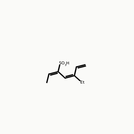 C=C/C(=C\C(=C/C)S(=O)(=O)O)CC